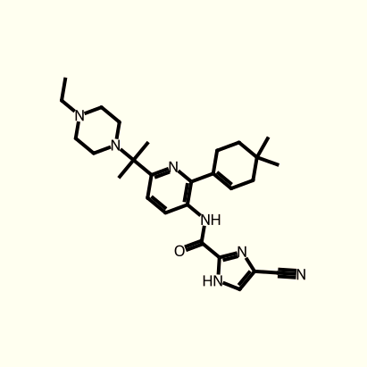 CCN1CCN(C(C)(C)c2ccc(NC(=O)c3nc(C#N)c[nH]3)c(C3=CCC(C)(C)CC3)n2)CC1